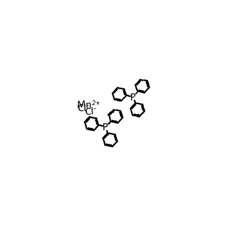 [Cl-].[Cl-].[Mn+2].c1ccc(P(c2ccccc2)c2ccccc2)cc1.c1ccc(P(c2ccccc2)c2ccccc2)cc1